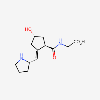 O=C(O)CNC(=O)[C@@H]1C[C@@H](O)C/C1=C\[C@@H]1CCCN1